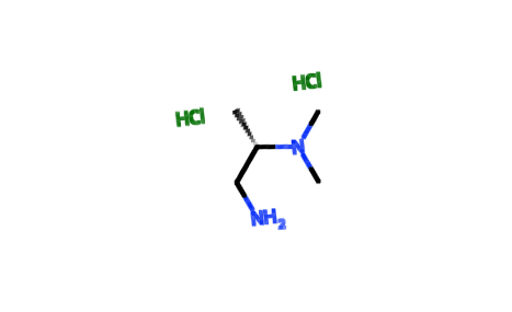 C[C@@H](CN)N(C)C.Cl.Cl